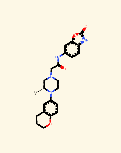 C[C@@H]1CN(CC(=O)Nc2ccc3[nH]c(=O)oc3c2)CCN1c1ccc2c(c1)CCCO2